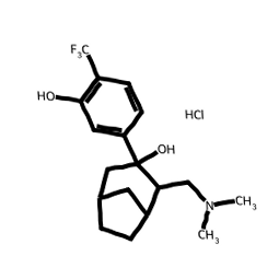 CN(C)CC1C2CCC(C2)CC1(O)c1ccc(C(F)(F)F)c(O)c1.Cl